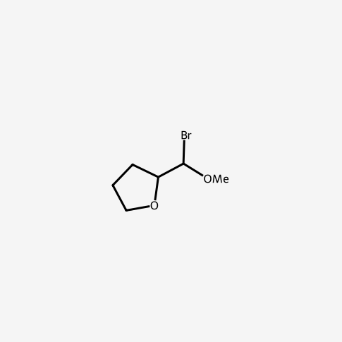 COC(Br)C1CCCO1